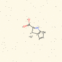 O=C([O-])C1=Nc2[se]ccc2C1.[Li+]